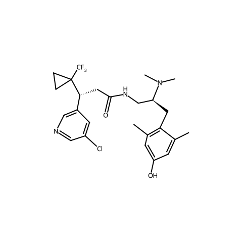 Cc1cc(O)cc(C)c1C[C@@H](CNC(=O)C[C@H](c1cncc(Cl)c1)C1(C(F)(F)F)CC1)N(C)C